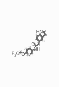 O=C(Cc1ccc2[nH]ccc2c1)Nc1ccc(OCC(F)(F)F)nc1